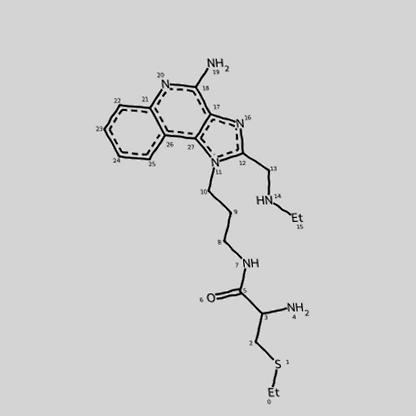 [CH2]CSCC(N)C(=O)NCCCn1c(CNCC)nc2c(N)nc3ccccc3c21